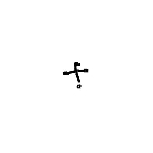 CC[N+](C)(C(C)(C)C)C(C)(C)C.[Cl-]